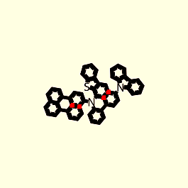 c1ccc(-c2cccc3cccc(-c4ccc(N(c5ccccc5-c5ccc(-n6c7ccccc7c7ccccc76)cc5)c5cccc6c5sc5ccccc56)cc4)c23)cc1